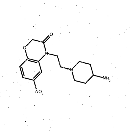 NC1CCN(CCN2C(=O)COc3ccc([N+](=O)[O-])cc32)CC1